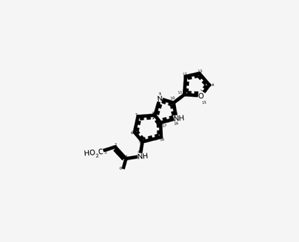 CC(=CC(=O)O)Nc1ccc2nc(-c3ccco3)[nH]c2c1